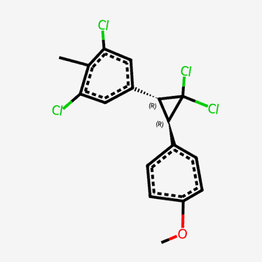 COc1ccc([C@H]2[C@H](c3cc(Cl)c(C)c(Cl)c3)C2(Cl)Cl)cc1